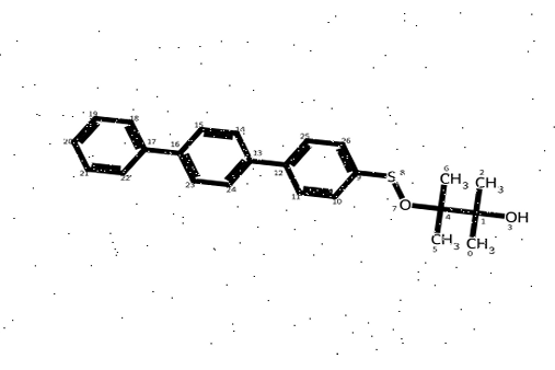 CC(C)(O)C(C)(C)OSc1ccc(-c2ccc(-c3ccccc3)cc2)cc1